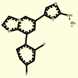 CC[C@@H](C)Nc1ncc(-c2cc(-c3ccc(F)cc3F)c3nccn3c2)s1